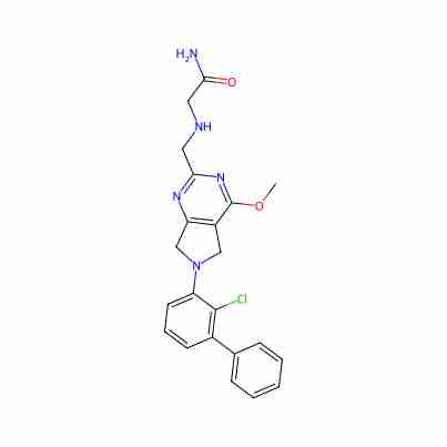 COc1nc(CNCC(N)=O)nc2c1CN(c1cccc(-c3ccccc3)c1Cl)C2